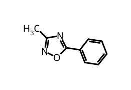 Cc1noc(-c2ccccc2)n1